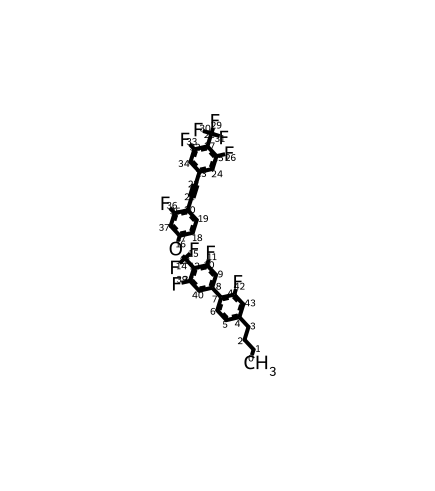 CCCCc1ccc(-c2cc(F)c(C(F)(F)Oc3ccc(C#Cc4cc(F)c(C(F)(F)F)c(F)c4)c(F)c3)c(F)c2)c(F)c1